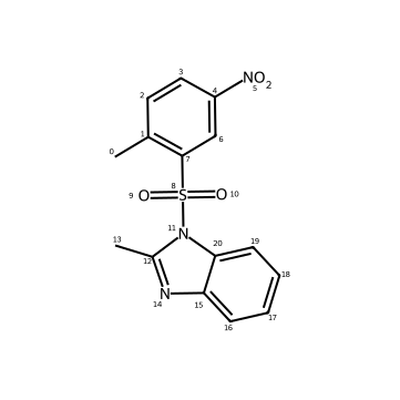 Cc1ccc([N+](=O)[O-])cc1S(=O)(=O)n1c(C)nc2ccccc21